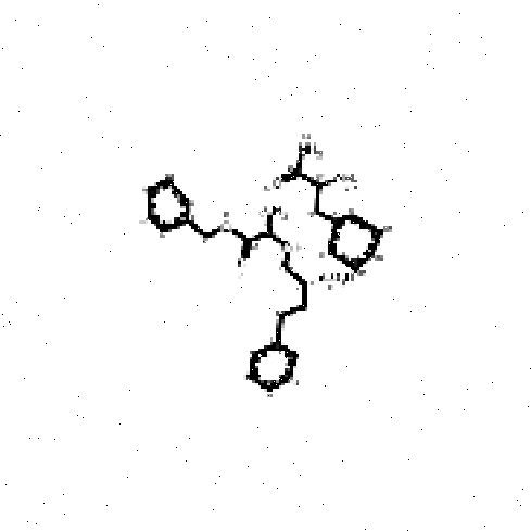 CC(NC[C@@H](CCc1ccccc1)C(=O)O)C(=O)OCc1ccccc1.NC(=O)[C@@H](N)Cc1ccccc1